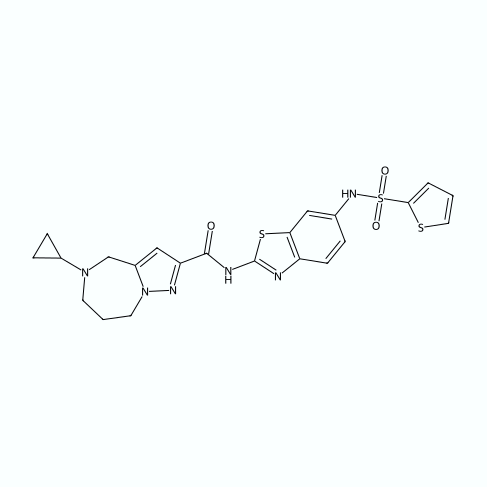 O=C(Nc1nc2ccc(NS(=O)(=O)c3cccs3)cc2s1)c1cc2n(n1)CCCN(C1CC1)C2